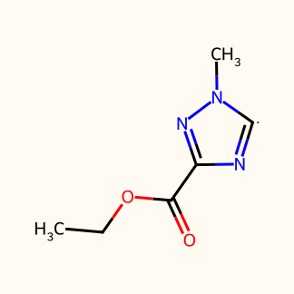 CCOC(=O)c1n[c]n(C)n1